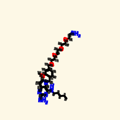 CCCCCNc1nc(N)nc2ccn(Cc3ccc(COCCOCCOCCOCCN)cc3OC)c12